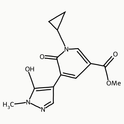 COC(=O)c1cc(-c2cnn(C)c2O)c(=O)n(C2CC2)c1